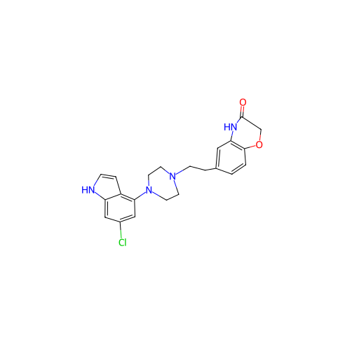 O=C1COc2ccc(CCN3CCN(c4cc(Cl)cc5[nH]ccc45)CC3)cc2N1